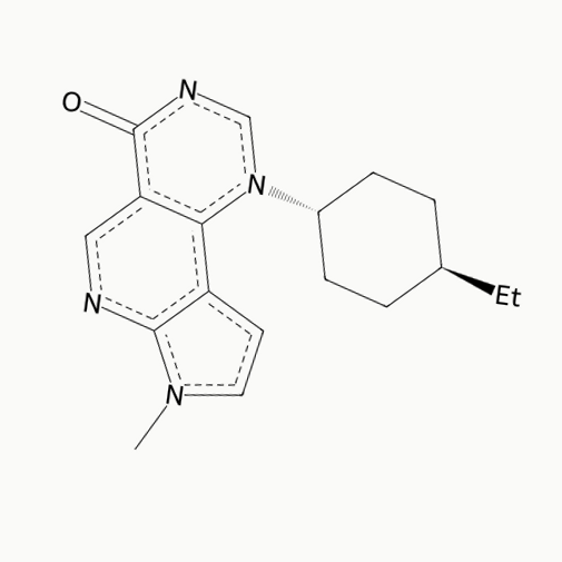 CC[C@H]1CC[C@H](n2cnc(=O)c3cnc4c(ccn4C)c32)CC1